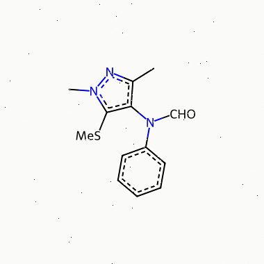 CSc1c(N(C=O)c2ccccc2)c(C)nn1C